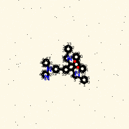 c1ccc(-c2ccc(-c3c4ccccc4c(-c4ccc(-c5ccccc5)n4-c4ccccc4)c4cc(-c5ccc(N(c6ccccc6)c6cccnc6)cc5)ccc34)n2-c2ccccc2)cc1